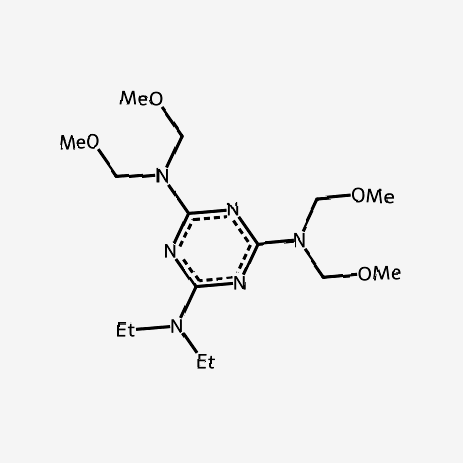 CCN(CC)c1nc(N(COC)COC)nc(N(COC)COC)n1